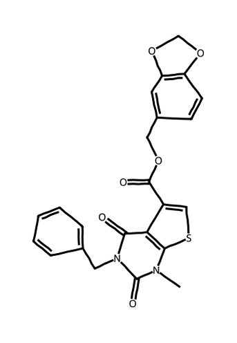 Cn1c(=O)n(Cc2ccccc2)c(=O)c2c(C(=O)OCc3ccc4c(c3)OCO4)csc21